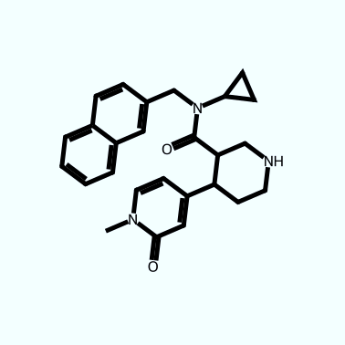 Cn1ccc(C2CCNCC2C(=O)N(Cc2ccc3ccccc3c2)C2CC2)cc1=O